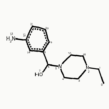 CCN1CCN(C(O)c2cccc(N)c2)CC1